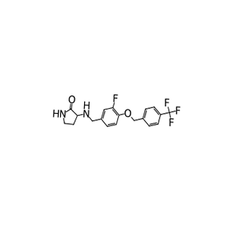 O=C1NCCC1NCc1ccc(OCc2ccc(C(F)(F)F)cc2)c(F)c1